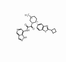 C[C@H]1CC[C@H](c2ccc3sc(C4CCC4)nc3c2)N(C(=O)C(=O)Nc2cncc3cn[nH]c23)C1